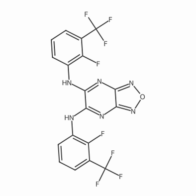 Fc1c(Nc2nc3nonc3nc2Nc2cccc(C(F)(F)F)c2F)cccc1C(F)(F)F